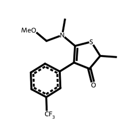 COCN(C)C1=C(c2cccc(C(F)(F)F)c2)C(=O)C(C)S1